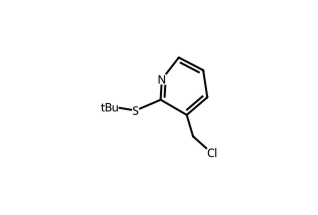 CC(C)(C)Sc1ncccc1CCl